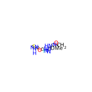 C=CC(=O)N1CCC(Nc2cc3c(Nc4ccc(Oc5ccnc(Nc6nccs6)c5)cc4F)ncnc3cc2OC)CC1